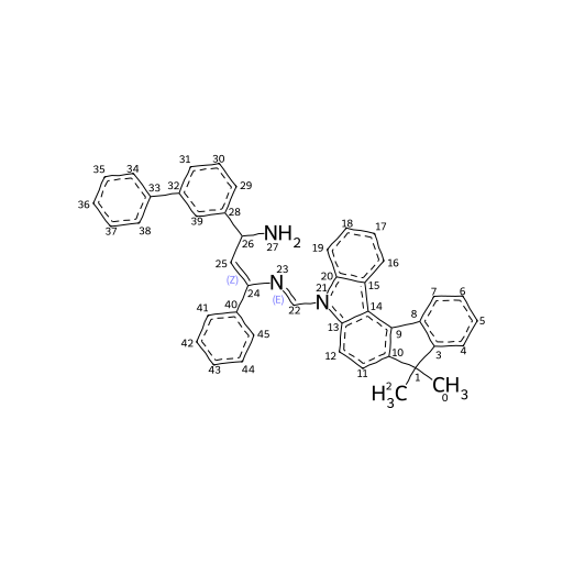 CC1(C)c2ccccc2-c2c1ccc1c2c2ccccc2n1/C=N/C(=C\C(N)c1cccc(-c2ccccc2)c1)c1ccccc1